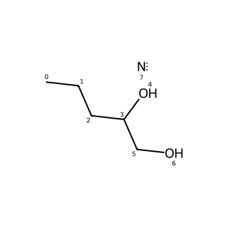 CCCC(O)CO.[N]